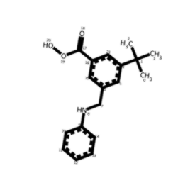 CC(C)(C)c1cc(CNc2ccccc2)cc(C(=O)OO)c1